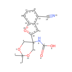 CC1(C)OCC(NC(=O)O)(c2cc3c(C#N)cccc3o2)CO1